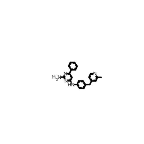 Cc1cc(Cc2ccc(Nc3cc(-c4ccccc4)nc(N)n3)cc2)ccn1